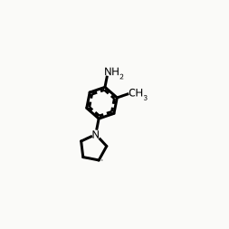 Cc1cc(N2C[CH]CC2)ccc1N